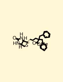 COC(=O)C(CCC[C@@H]1SC[C@@H]2NC(=O)N[C@@H]21)(Cc1ccccc1)Cc1ccccc1